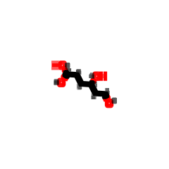 O=CCC(O)CCC(=O)O